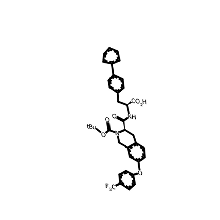 CC(C)(C)OC(=O)N1Cc2cc(Oc3ccc(C(F)(F)F)cc3)ccc2C[C@@H]1C(=O)N[C@@H](Cc1ccc(-c2ccccc2)cc1)C(=O)O